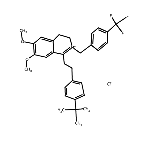 COc1cc2c(cc1OC)C(CCc1ccc(C(C)(C)C)cc1)=[N+](Cc1ccc(C(F)(F)F)cc1)CC2.[Cl-]